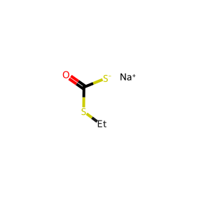 CCSC(=O)[S-].[Na+]